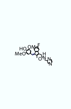 COc1cc(/C=C2/C(C)=C(CC(=O)NCc3cnccn3)c3cc(F)ccc32)cc(OC)c1O